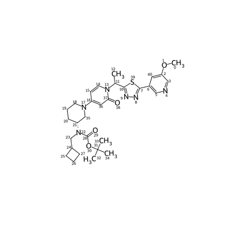 COc1cncc(-c2nnc(C(C)n3ccc(N4CCC[C@@H](N(CC5CCC5)C(=O)OC(C)(C)C)C4)cc3=O)s2)c1